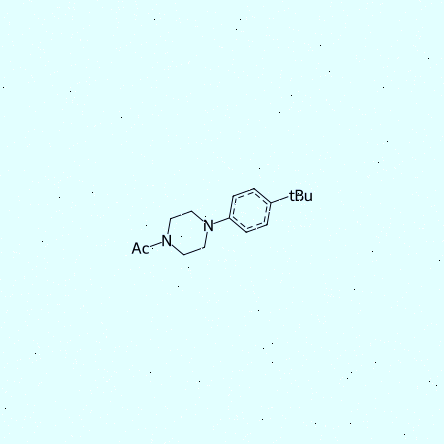 CC(=O)N1CCN(c2ccc(C(C)(C)C)cc2)CC1